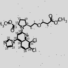 COC(=O)CCOCC[C@@H]1CC[C@@H](C(=O)OC)N1c1cc(-n2ccnc2)c2ccc(Cl)c(Cl)c2n1